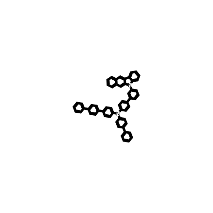 c1ccc(-c2ccc(-c3ccc(N(c4ccc(-c5ccccc5)cc4)c4ccc(-c5cccc(-n6c7ccccc7c7cc8ccccc8cc76)c5)cc4)cc3)cc2)cc1